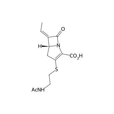 CC=C1C(=O)N2C(C(=O)O)=C(SCCNC(C)=O)C[C@H]12